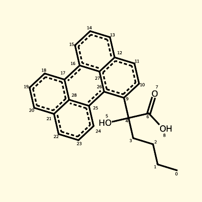 CCCCC(O)(C(=O)O)c1ccc2cccc3c4cccc5cccc(c1c23)c54